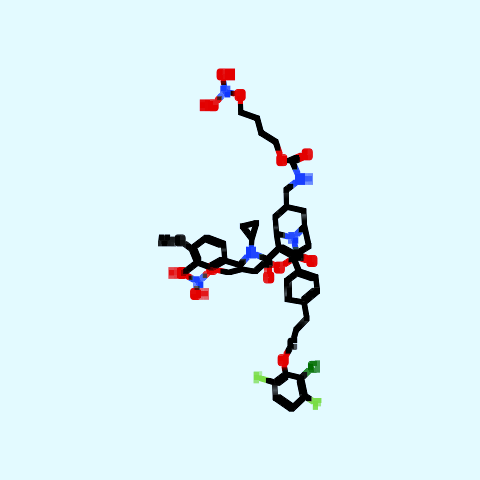 COc1ccc(CN(C(=O)C2=C(c3ccc(CCCOc4c(F)ccc(F)c4Cl)cc3)CC3CC(CNC(=O)OCCCCON(O)O)CC2N3C(=O)OCCCCON(O)O)C2CC2)cc1C